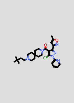 Cc1cc(-c2nn(-c3ccccn3)c(Cl)c2C(=O)N2CCC3(CCN(CCC(C)(C)C)CC3)CC2)no1